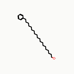 [O]CCCCCCCCCCCCCCCCCCCCc1ccccc1